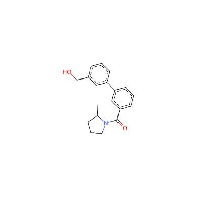 CC1CCCN1C(=O)c1cccc(-c2cccc(CO)c2)c1